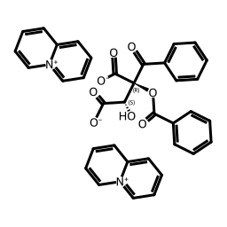 O=C(O[C@@](C(=O)[O-])(C(=O)c1ccccc1)[C@H](O)C(=O)[O-])c1ccccc1.c1cc[n+]2ccccc2c1.c1cc[n+]2ccccc2c1